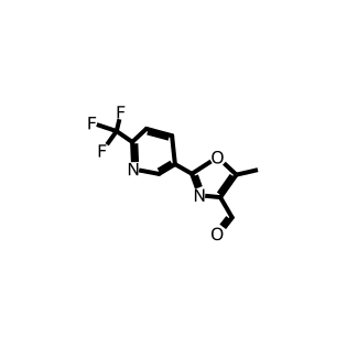 Cc1oc(-c2ccc(C(F)(F)F)nc2)nc1C=O